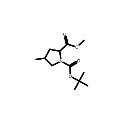 COC(=O)C1CC(I)CN1C(=O)OC(C)(C)C